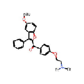 CCCCOc1ccc2oc(C(=O)c3ccc(OCCN(CC)CC)cc3)c(-c3ccccc3)c2c1